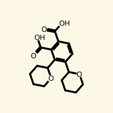 O=C(O)c1ccc(C2CCCCO2)c(C2CCCCO2)c1C(=O)O